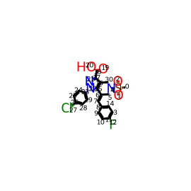 CS(=O)(=O)N1CC(=Cc2ccc(F)cc2)c2c(c(C(=O)O)nn2-c2ccc(Cl)cc2)C1